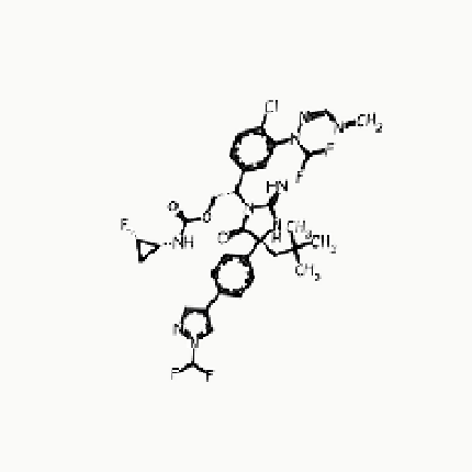 C=N/C=N\N(c1cc([C@@H](COC(=O)N[C@@H]2C[C@@H]2F)N2C(=N)N[C@](CC(C)(C)C)(c3ccc(-c4cnn(C(F)F)c4)cc3)C2=O)ccc1Cl)C(F)F